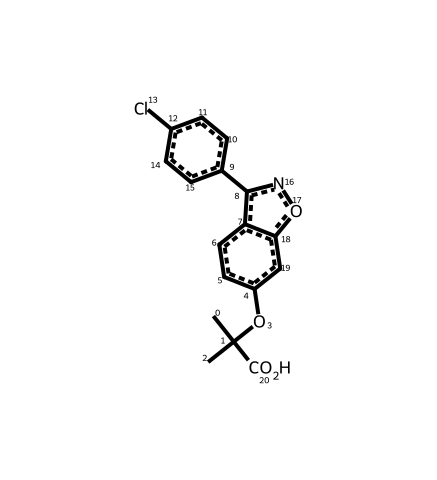 CC(C)(Oc1ccc2c(-c3ccc(Cl)cc3)noc2c1)C(=O)O